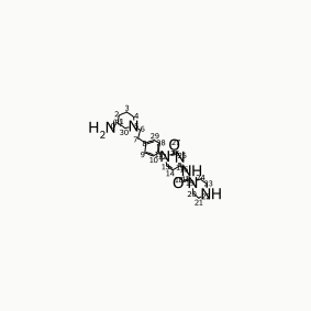 N[C@@H]1CCCN(CCc2ccc(-n3ccc(NC(=O)N4CCNCC4)nc3=O)cc2)C1